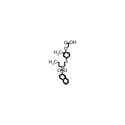 CCCN(CCSc1ccc(OCC(=O)O)c(C)c1)S(=O)(=O)c1ccc2ccccc2c1